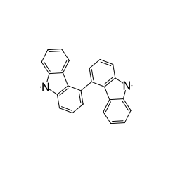 c1ccc2c(c1)[N]c1cccc(-c3cccc4c3-c3ccccc3[N]4)c1-2